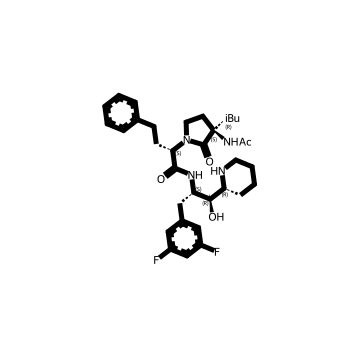 CC[C@@H](C)[C@@]1(NC(C)=O)CCN([C@@H](CCc2ccccc2)C(=O)N[C@@H](Cc2cc(F)cc(F)c2)[C@H](O)[C@H]2CCCCN2)C1=O